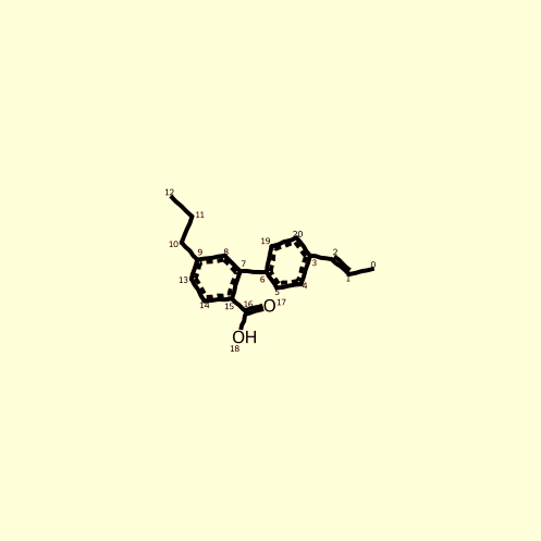 CC=Cc1ccc(-c2cc(CCC)ccc2C(=O)O)cc1